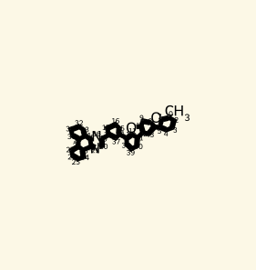 Cc1cccc2c1oc1cc3oc4c(-c5cccc(-c6cnc7c8ccccc8c8ccccc8c7n6)c5)cccc4c3cc12